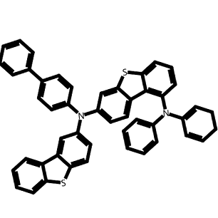 C1=CC(N(c2ccccc2)c2cccc3sc4cc(N(c5ccc(-c6ccccc6)cc5)c5ccc6sc7ccccc7c6c5)ccc4c23)=CCC1